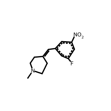 CN1CCC(=Cc2cc(F)cc([N+](=O)[O-])c2)CC1